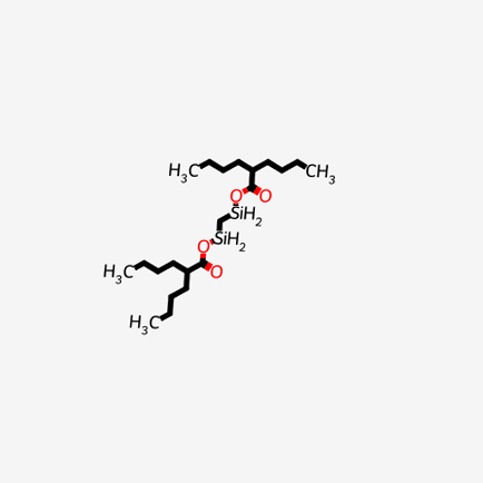 CCCCC(CCCC)C(=O)O[SiH2]C[SiH2]OC(=O)C(CCCC)CCCC